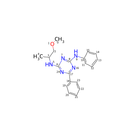 COCC(C)Nc1nc(Nc2ccccc2)nc(-c2ccccc2)n1